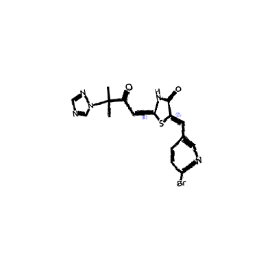 CC(C)(C(=O)/C=c1\[nH]c(=O)/c(=C/c2ccc(Br)nc2)s1)n1cncn1